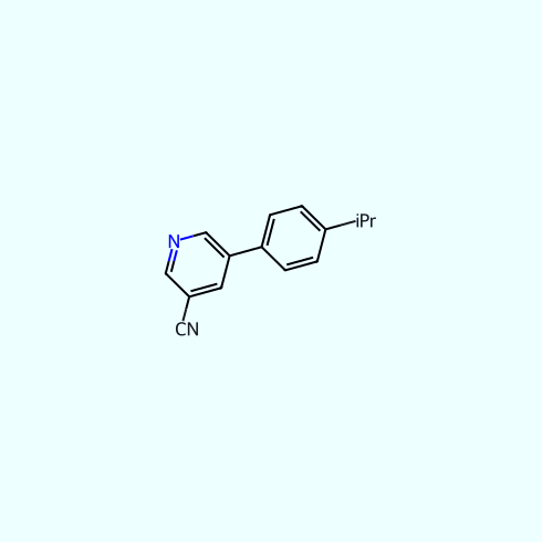 CC(C)c1ccc(-c2cncc(C#N)c2)cc1